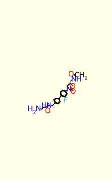 CC(=O)NC[C@H]1CN(c2ccc(-c3ccc(CNC(=O)CCN)cc3)c(F)c2)C(=O)O1